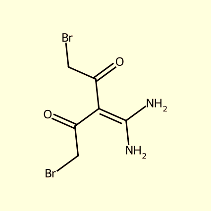 NC(N)=C(C(=O)CBr)C(=O)CBr